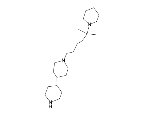 CC(C)(CCCCN1CCC(C2CCNCC2)CC1)N1CCCCC1